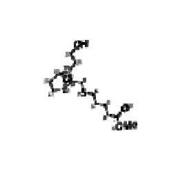 COC(=O)CCCCSCC1C2CCC(O2)C1CCO